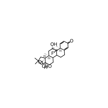 CC1(C)C[C@@H]2CCC3C4CCC5=CC(=O)C=C[C@]5(C)[C@@]4(F)[C@@H](O)C[C@]3(C)[C@]2(C(=O)C=O)C1